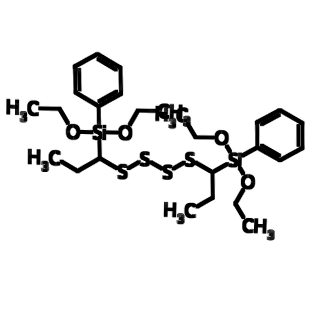 CCO[Si](OCC)(c1ccccc1)C(CC)SSSSC(CC)[Si](OCC)(OCC)c1ccccc1